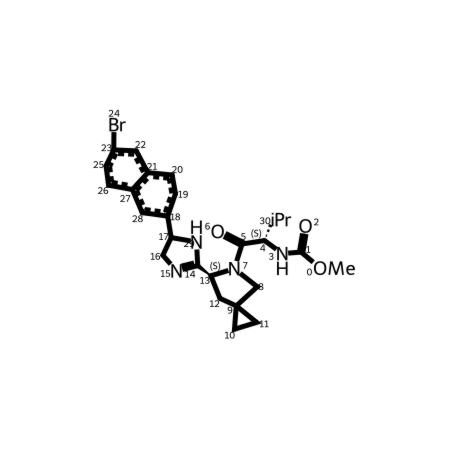 COC(=O)N[C@H](C(=O)N1CC2(CC2)C[C@H]1C1=NCC(c2ccc3cc(Br)ccc3c2)N1)C(C)C